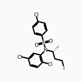 C[C@H](CCI)N(c1cc(Cl)ccc1Cl)S(=O)(=O)c1ccc(Cl)cc1